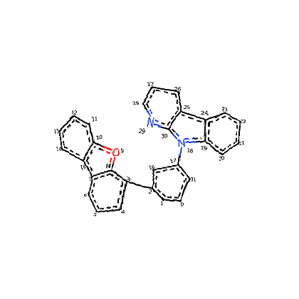 c1cc(-c2cccc3c2oc2ccccc23)cc(-n2c3ccccc3c3cccnc32)c1